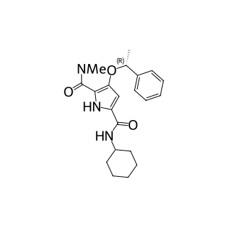 CNC(=O)c1[nH]c(C(=O)NC2CCCCC2)cc1O[C@H](C)c1ccccc1